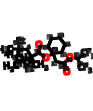 CCC(C)(C)CC(C)(C(=O)OC1(CC(=O)OC(C(F)(F)F)C(F)(F)F)CCCCC1)C(C)(C)CC